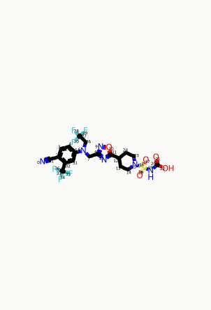 N#Cc1ccc(N(Cc2noc(C3CCN(S(=O)(=O)NC(=O)O)CC3)n2)CC(F)(F)F)cc1C(F)(F)F